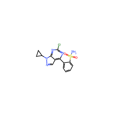 NS(=O)(=O)c1ccccc1-c1nc(Cl)nc2c1cnn2C1CC1